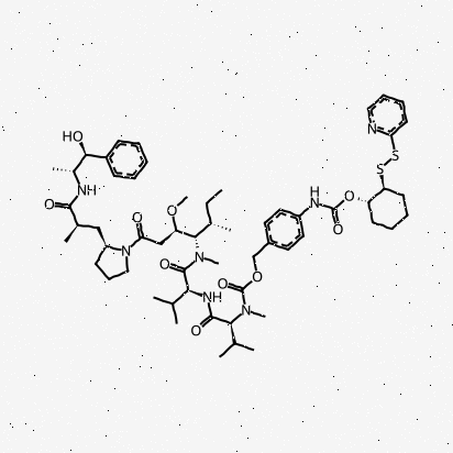 CC[C@H](C)[C@@H]([C@@H](CC(=O)N1CCC[C@H]1C[C@@H](C)C(=O)N[C@H](C)[C@@H](O)c1ccccc1)OC)N(C)C(=O)[C@@H](NC(=O)[C@H](C(C)C)N(C)C(=O)OCc1ccc(NC(=O)O[C@H]2CCCC[C@@H]2SSc2ccccn2)cc1)C(C)C